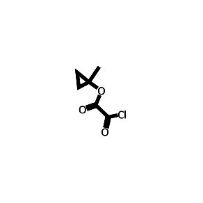 CC1(OC(=O)C(=O)Cl)CC1